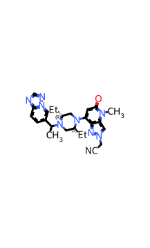 CC[C@H]1CN(C(C)c2ccc3ncnn3c2)[C@H](CC)CN1c1cc(=O)n(C)c2cn(CC#N)nc12